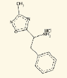 Cc1noc(C(N)Cc2ccccc2)n1.Cl